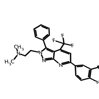 CN(C)CCn1nc2nc(-c3ccc(N)c(C#N)c3)cc(C(F)(F)F)c2c1-c1ccccc1